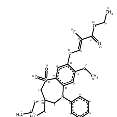 CCC[C@@]1(CC)CN(c2ccccc2)c2cc(SC)c(O/C=C(\F)C(=O)OCC)cc2S(=O)(=O)C1